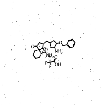 NC(=O)N1CCCC[C@]12C(=O)CC(CC1CC(OCc3ccccc3)[C@@H](N)C1)C2=O.O=C(O)C(F)(F)F